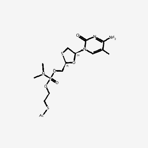 CC(=O)SCCOP(=O)(OC[C@@H]1O[C@H](n2cc(C)c(N)nc2=O)CS1)N(C)C